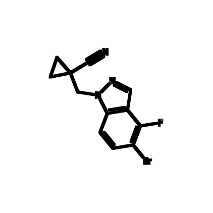 N#CC1(Cn2ncc3c(F)c(Br)ccc32)CC1